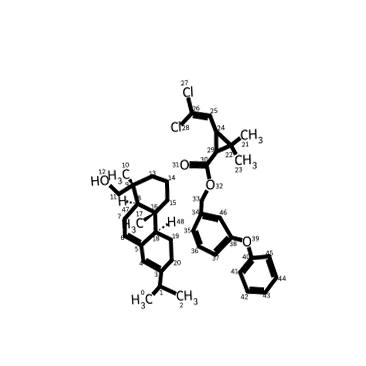 CC(C)C1=CC2=CC[C@H]3[C@](C)(CO)CCC[C@]3(C)[C@H]2CC1.CC1(C)C(C=C(Cl)Cl)C1C(=O)OCc1cccc(Oc2ccccc2)c1